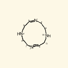 C1=NCCNCC=NCCNC1